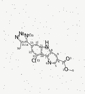 COC(=O)c1cnc2c(c1)[nH]c1cc(-c3c(C)nnn3C)cc(Cl)c12